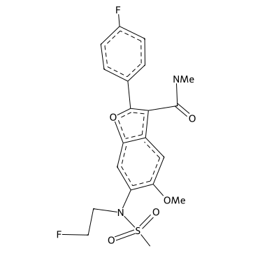 CNC(=O)c1c(-c2ccc(F)cc2)oc2cc(N(CCF)S(C)(=O)=O)c(OC)cc12